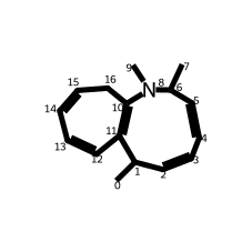 CC1/C=C\C=C/C(C)N(C)C2=C1C=CC=CC2